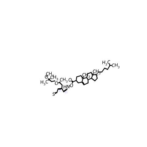 COC(C)(C)CCOC(C)CC(/C=C\NOC(=O)C1CC[C@@]2(C)C(=CCC3C2CC[C@@]2(C)C3CC[C@@H]2CCCCC(C)C)C1)=C/C=S